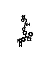 CC/C(=C(/c1ccc(OCCNC/C=C\C(=O)N(C)C)cc1)c1ccc2[nH]ncc2c1)c1ccccc1